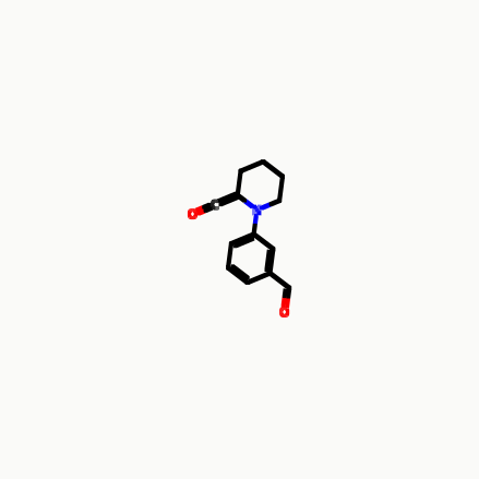 O=C=C1CCCCN1c1cccc(C=O)c1